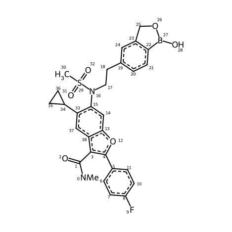 CNC(=O)c1c(-c2ccc(F)cc2)oc2cc(N(CCc3ccc4c(c3)COB4O)S(C)(=O)=O)c(C3CC3)cc12